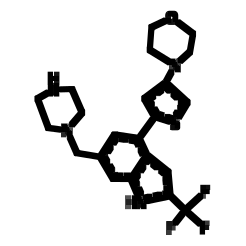 FC(F)(F)c1cc2c(-c3cc(N4CCOCC4)cs3)cc(CN3CCNCC3)cc2[nH]1